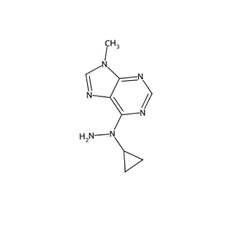 Cn1cnc2c(N(N)C3CC3)ncnc21